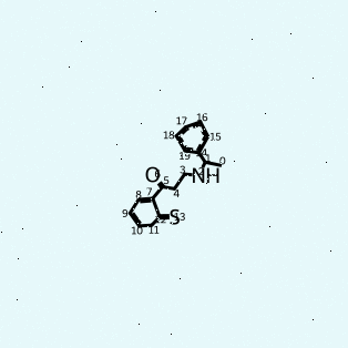 CC(NCCC(=O)C1=CC=CCC1=S)c1ccccc1